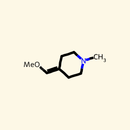 COC=C1CCN(C)CC1